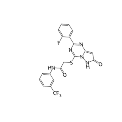 O=C(CSc1nc(-c2ccccc2F)nc2cc(=O)[nH]n12)Nc1cccc(C(F)(F)F)c1